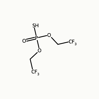 O=P(S)(OCC(F)(F)F)OCC(F)(F)F